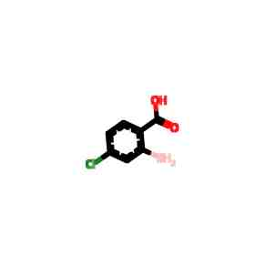 Bc1cc(Cl)ccc1C(=O)O